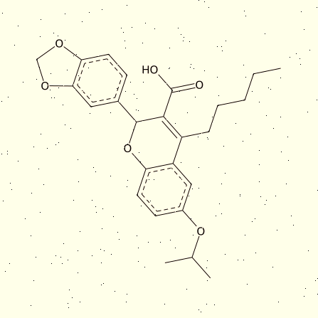 CCCCCC1=C(C(=O)O)C(c2ccc3c(c2)OCO3)Oc2ccc(OC(C)C)cc21